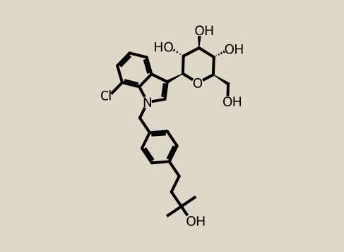 CC(C)(O)CCc1ccc(Cn2cc([C@@H]3O[C@H](CO)[C@@H](O)[C@H](O)[C@H]3O)c3cccc(Cl)c32)cc1